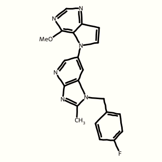 COc1ncnc2ccn(-c3cnc4nc(C)n(Cc5ccc(F)cc5)c4c3)c12